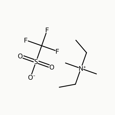 CC[N+](C)(C)CC.O=S(=O)([O-])C(F)(F)F